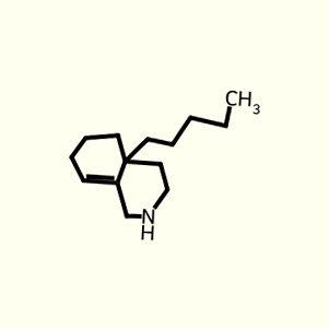 CCCCCC12CCCC=C1CNCC2